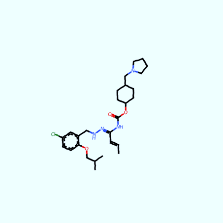 C/C=C/C(=N\NCc1cc(Cl)ccc1OCC(C)C)NC(=O)OC1CCC(CN2CCCC2)CC1